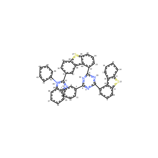 c1ccc(-c2nc(-c3cccc4sc5ccccc5c34)nc(-c3cccc4sc5ccc(-c6nc7ccccc7n6-c6ccccc6)cc5c34)n2)cc1